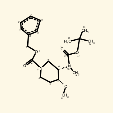 CO[C@@H]1CCN(C(=O)OCc2ccccc2)C[C@@H]1N(C)C(=O)OC(C)(C)C